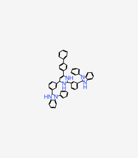 C1=C(c2ccc(-c3ccccc3)cc2)NC(c2cccc(C3Nc4ccccc4N3c3ccccc3)c2)NC1c1cccc(C2Nc3ccccc3N2c2ccccc2)c1